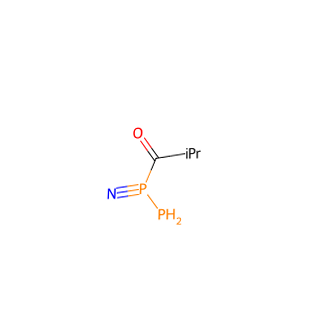 CC(C)C(=O)P(#N)P